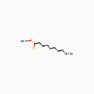 CCCCCCCCOC(=O)CCCCCCCNC(C)=O